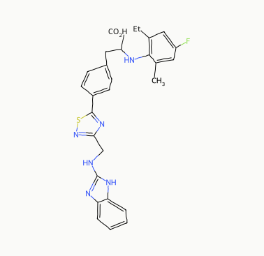 CCc1cc(F)cc(C)c1NC(Cc1ccc(-c2nc(CNc3nc4ccccc4[nH]3)ns2)cc1)C(=O)O